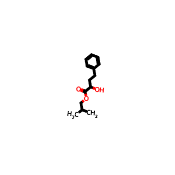 CC(C)COC(=O)C(O)CCc1ccccc1